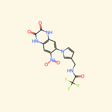 O=C(NCc1ccn(-c2cc3[nH]c(=O)c(=O)[nH]c3cc2[N+](=O)[O-])c1)C(F)(F)F